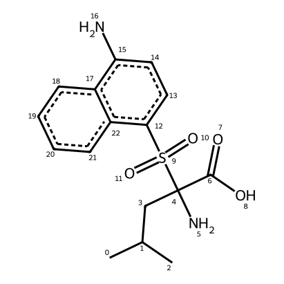 CC(C)CC(N)(C(=O)O)S(=O)(=O)c1ccc(N)c2ccccc12